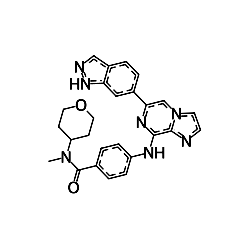 CN(C(=O)c1ccc(Nc2nc(-c3ccc4cn[nH]c4c3)cn3ccnc23)cc1)C1CCOCC1